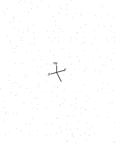 CC(F)(F)[18F]